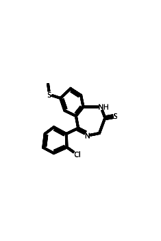 CSc1ccc2c(c1)C(c1ccccc1Cl)=NCC(=S)N2